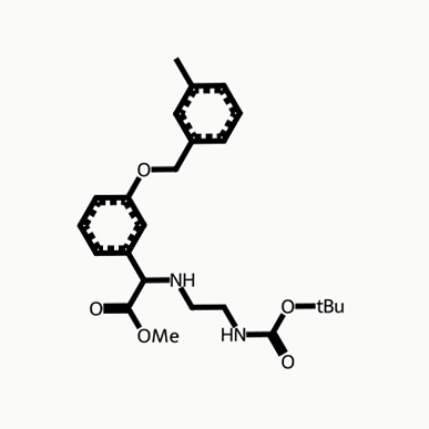 COC(=O)C(NCCNC(=O)OC(C)(C)C)c1cccc(OCc2cccc(C)c2)c1